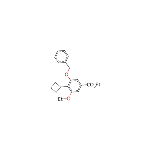 CCOC(=O)c1cc(OCC)c(C2CCC2)c(OCc2ccccc2)c1